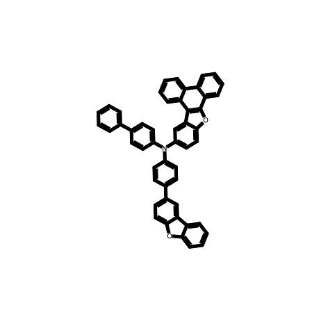 c1ccc(-c2ccc(N(c3ccc(-c4ccc5oc6ccccc6c5c4)cc3)c3ccc4oc5c6ccccc6c6ccccc6c5c4c3)cc2)cc1